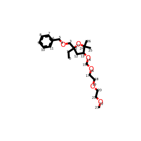 CCC1(COCc2ccccc2)CC(OCOCCOCCOC)C(C)(C)O1